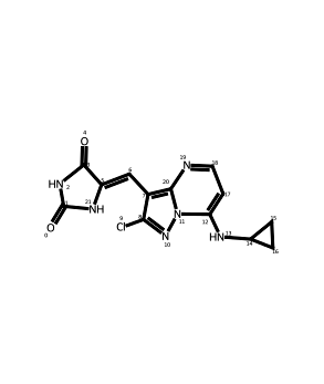 O=C1NC(=O)C(=Cc2c(Cl)nn3c(NC4CC4)ccnc23)N1